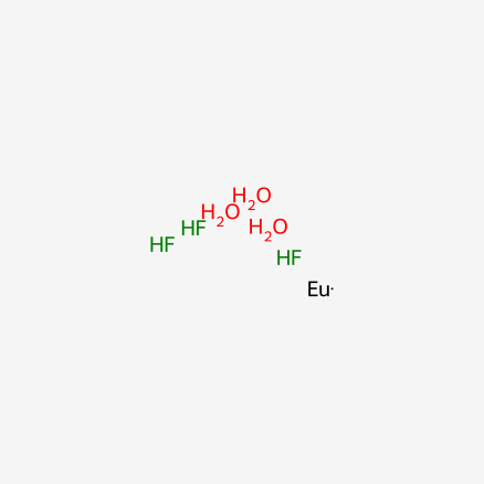 F.F.F.O.O.O.[Eu]